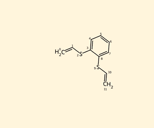 C=CSc1ccccc1SC=C